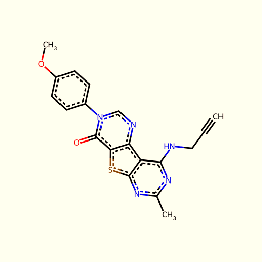 C#CCNc1nc(C)nc2sc3c(=O)n(-c4ccc(OC)cc4)cnc3c12